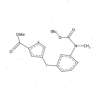 COC(=O)c1cc(Cc2cccc(N(C)C(=O)OC(C)(C)C)c2)cs1